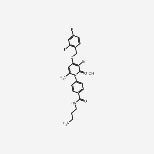 Cc1cc(OCc2ccc(F)cc2F)c(Br)c(=O)n1-c1ccc(C(=O)NCCCN)cc1.Cl